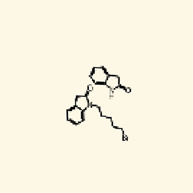 O=C1Cc2ccccc2N1.O=C1Cc2ccccc2N1CCCCCBr